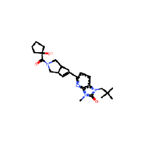 Cn1c(=O)n(CC(C)(C)C)c2ccc(C3=CC4CN(C(=O)C5(O)CCCC5)CC4C3)nc21